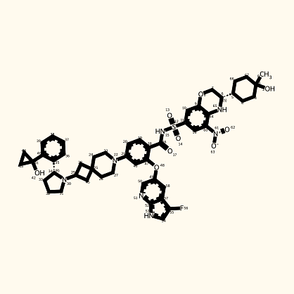 CC1(O)CCC([C@H]2COc3cc(S(=O)(=O)NC(=O)c4ccc(N5CCC6(CC5)CC(N5CCC[C@@H]5c5ccccc5C5(O)CC5)C6)cc4Oc4cnc5[nH]cc(F)c5c4)cc([N+](=O)[O-])c3N2)CC1